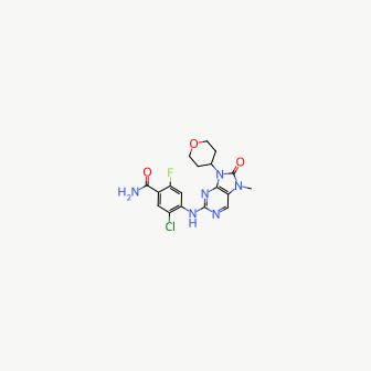 Cn1c(=O)n(C2CCOCC2)c2nc(Nc3cc(F)c(C(N)=O)cc3Cl)ncc21